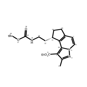 CCOC(=O)c1c(C)nn2ccc3c(c12)[C@H](CCNC(=O)OC(C)(C)C)CC3